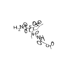 CCN(C(=O)CNC(=O)COC(C)=O)[C@H]1C=C(S(N)(=O)=O)SC2=C1C[C@H](C)S2(=O)=O